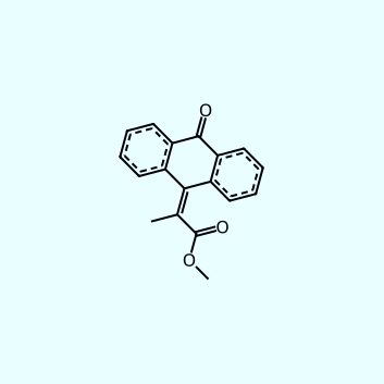 COC(=O)C(C)=C1c2ccccc2C(=O)c2ccccc21